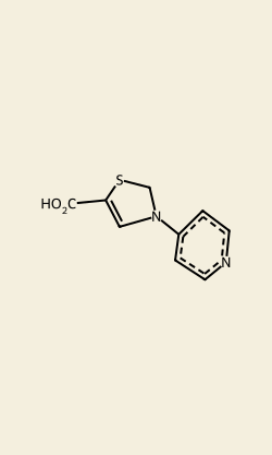 O=C(O)C1=CN(c2ccncc2)CS1